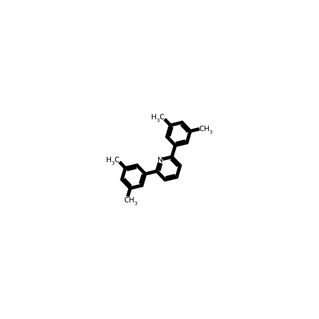 Cc1cc(C)cc(-c2cccc(-c3cc(C)cc(C)c3)n2)c1